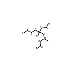 CCCCC(C)(CCC)CC(C)CCC